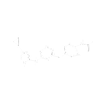 CC(=O)Nc1ccc(Oc2nncc(Nc3ncc(C4CC4)o3)n2)cc1